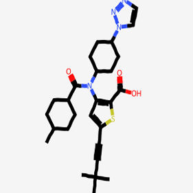 CC1CCC(C(=O)N(c2cc(C#CC(C)(C)C)sc2C(=O)O)C2CCC(n3ccnn3)CC2)CC1